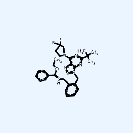 CCOC(=[SH]Cc1ccccc1Cn1nnc2c(N3CCC(F)(F)C3)nc(C(C)(C)C)nc21)c1ccccc1